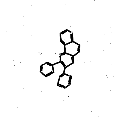 [Tb].c1ccc(-c2cc3ccc4ncccc4c3nc2-c2ccccc2)cc1